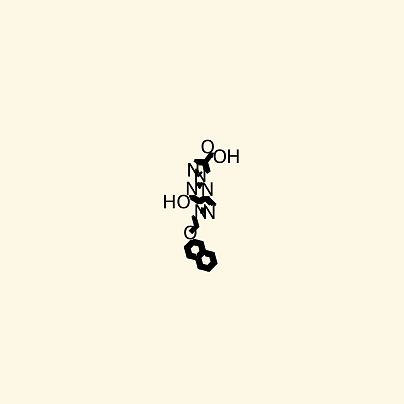 O=C(O)c1cnn(-c2nc(O)c3c(cnn3CCOc3ccc4ccccc4c3)n2)c1